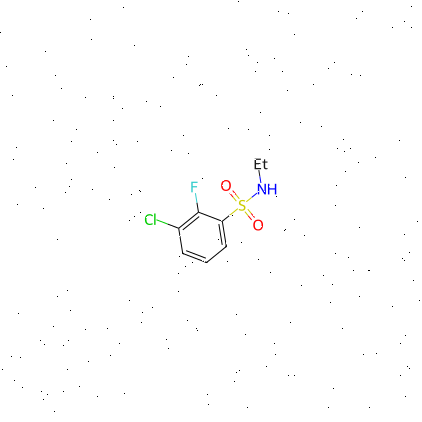 [CH2]CNS(=O)(=O)c1cccc(Cl)c1F